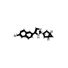 Brc1ccc2cc(-c3cnc([C@H]4C[C@@H]5C[C@@H]5C4)[nH]3)ccc2c1